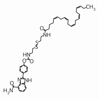 CC/C=C\C/C=C\C/C=C\C/C=C\C/C=C\CCCC(=O)NCCSSCCNC(=O)Oc1ccc(-c2nc3c(C(N)=O)cccc3[nH]2)cc1